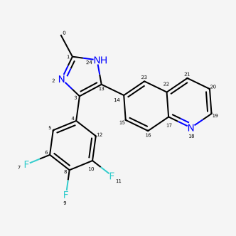 Cc1nc(-c2cc(F)c(F)c(F)c2)c(-c2ccc3ncccc3c2)[nH]1